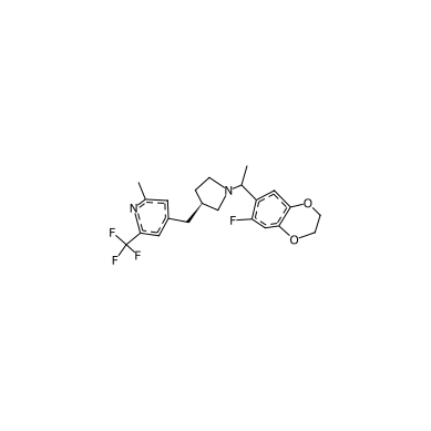 Cc1cc(C[C@H]2CCN(C(C)c3cc4c(cc3F)OCCO4)C2)cc(C(F)(F)F)n1